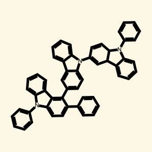 C1=CC2C(C=C1n1c3ccccc3c3cc(-c4c(-c5ccccc5)ccc5c4c4ccccc4n5-c4ccccc4)ccc31)c1ccccc1N2c1ccccc1